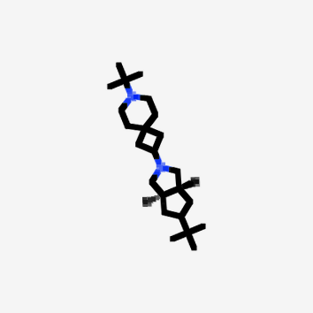 CC(C)(C)C1C[C@H]2CN(C3CC4(CCN(C(C)(C)C)CC4)C3)C[C@@H]2C1